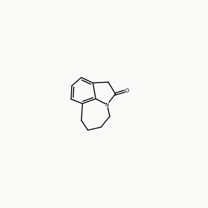 O=C1Cc2c[c]cc3c2N1CCCC3